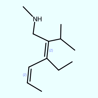 C/C=C\C(CC)=C(/CNC)C(C)C